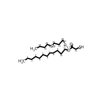 CCCCCCCCCCCCOC(=O)CS.CCC[CH2][Sn][CH2]CCC